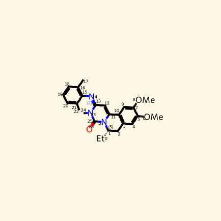 CC[C@H]1Cc2cc(OC)c(OC)cc2-c2c/c(=N/c3c(C)cccc3C)n(C)c(=O)n21